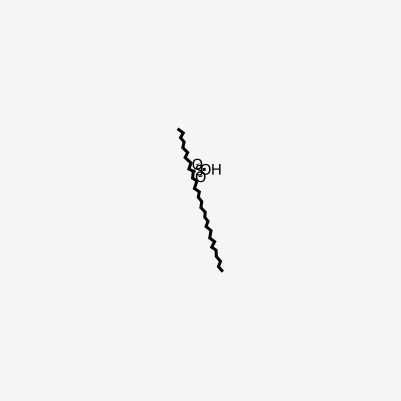 CCCCCCCCCCCCCCCCCCCCC(CCCCCCCCC)S(=O)(=O)O